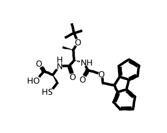 C[C@@H](OC(C)(C)C)[C@H](NC(=O)OCC1c2ccccc2-c2ccccc21)C(=O)N[C@@H](CS)C(=O)O